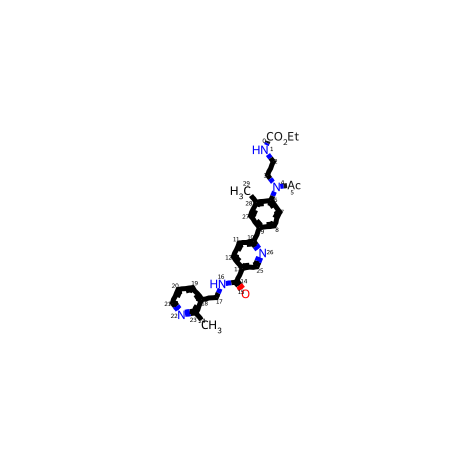 CCOC(=O)NCCN(C(C)=O)c1ccc(-c2ccc(C(=O)NCc3cccnc3C)cn2)cc1C